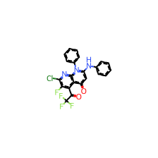 O=C(c1c(F)c(Cl)nc2c1c(=O)cc(Nc1ccccc1)n2-c1ccccc1)C(F)(F)F